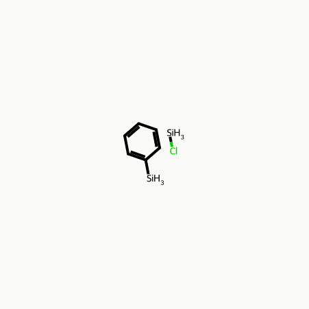 [SiH3]Cl.[SiH3]c1ccccc1